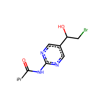 CC(C)C(=O)Nc1ncc(C(O)CBr)cn1